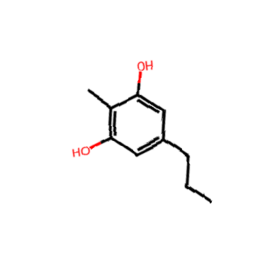 CCCc1cc(O)c(C)c(O)c1